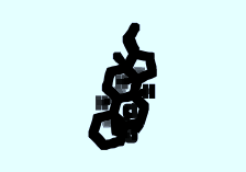 CC=C1CC[C@H]2[C@@H]3CC4OC[C@@]5(CCCC[C@]45Cl)[C@H]3CC[C@]12C